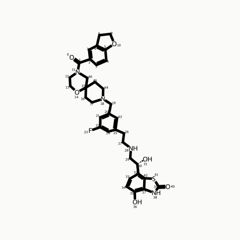 O=C(c1ccc2c(c1)CCO2)N1CCOC2(CCN(Cc3cc(F)cc(CCNC[C@H](O)c4ccc(O)c5[nH]c(=O)sc45)c3)CC2)C1